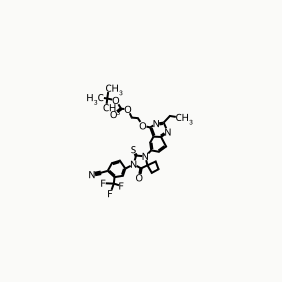 CCc1nc(OCCOC(=O)OC(C)(C)C)c2cc(N3C(=S)N(c4ccc(C#N)c(C(F)(F)F)c4)C(=O)C34CCC4)ccc2n1